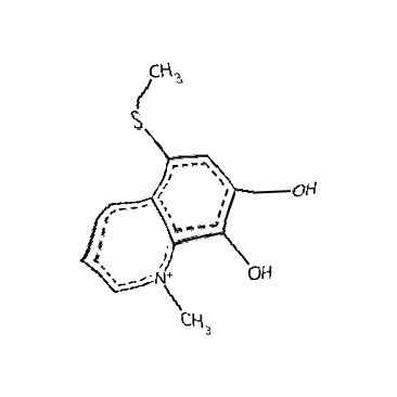 CSc1cc(O)c(O)c2c1ccc[n+]2C